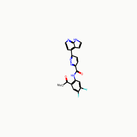 COC(=O)c1cc(F)c(F)cc1NC(=O)c1ccc(-c2ccnc3[nH]ccc23)nn1